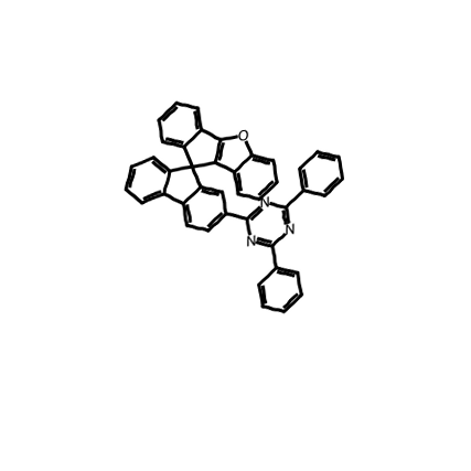 c1ccc(-c2nc(-c3ccccc3)nc(-c3ccc4c(c3)C3(c5ccccc5-4)c4ccccc4-c4oc5ccccc5c43)n2)cc1